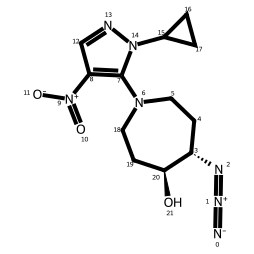 [N-]=[N+]=N[C@H]1CCN(c2c([N+](=O)[O-])cnn2C2CC2)CC[C@@H]1O